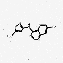 CC(C)(C)c1cc(Nc2ncnc3cc(Br)cnc23)no1